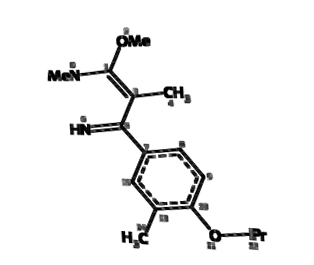 CN/C(OC)=C(/C)C(=N)c1ccc(OC(C)C)c(C)c1